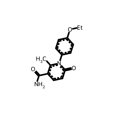 CCOc1ccc(-n2c(C)c(C(N)=O)ccc2=O)cc1